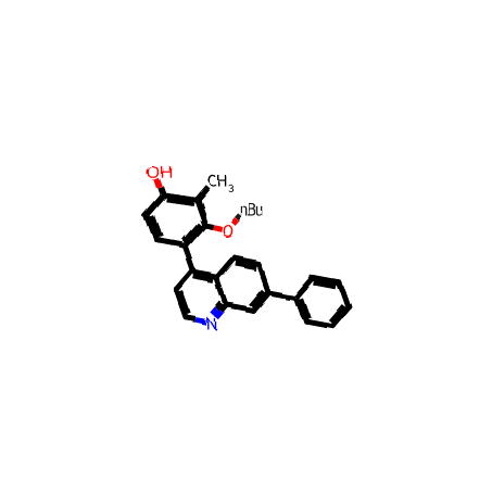 CCCCOc1c(-c2ccnc3cc(-c4ccccc4)ccc23)ccc(O)c1C